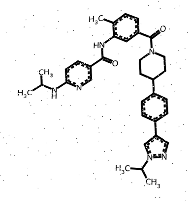 Cc1ccc(C(=O)N2CCC(c3ccc(-c4cnn(C(C)C)c4)cc3)CC2)cc1NC(=O)c1ccc(NC(C)C)nc1